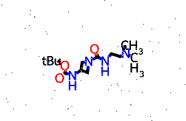 CN(C)CCNC(=O)N1CC(NC(=O)OC(C)(C)C)C1